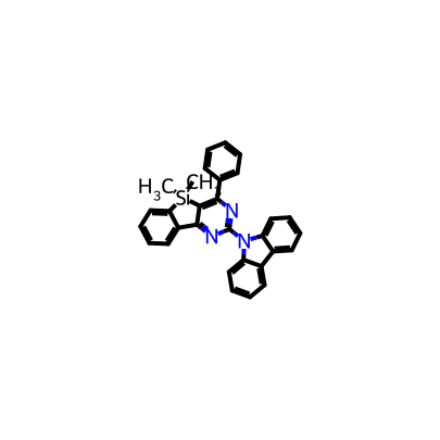 C[Si]1(C)c2ccccc2-c2nc(-n3c4ccccc4c4ccccc43)nc(-c3ccccc3)c21